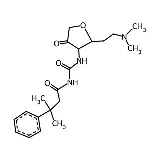 CN(C)CCC1OCC(=O)C1NC(=O)NC(=O)CC(C)(C)c1ccccc1